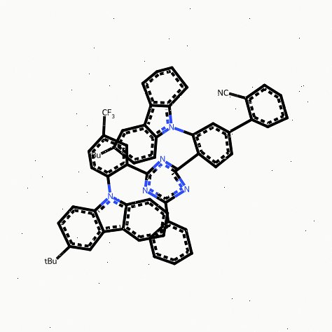 CC(C)(C)c1ccc2c(c1)c1ccccc1n2-c1ccc(C(F)(F)F)cc1-c1nc(-c2ccccc2)nc(-c2ccc(-c3ccccc3C#N)cc2-n2c3ccccc3c3cc(C(C)(C)C)ccc32)n1